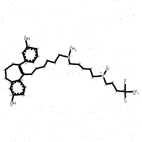 CN(CCCCCCC1=C(c2cccc(O)c2)CCCc2cc(O)ccc21)CCCCC[S+]([O-])CCCC(F)(F)C(F)(F)F